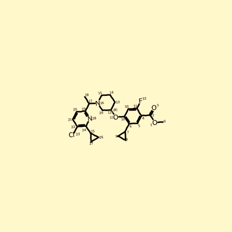 COC(=O)c1cc(C2CC2)c(O[C@@H]2CCCN(C(C)c3ccc(Cl)c(C4CC4)n3)C2)cc1F